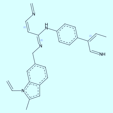 C=Cn1c(C)cc2ccc(C/N=C(\C=C/N=C)Nc3ccc(/C(C=N)=C/C)cc3)cc21